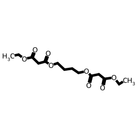 CCOC(=O)CC(=O)OCCCCOC(=O)CC(=O)OCC